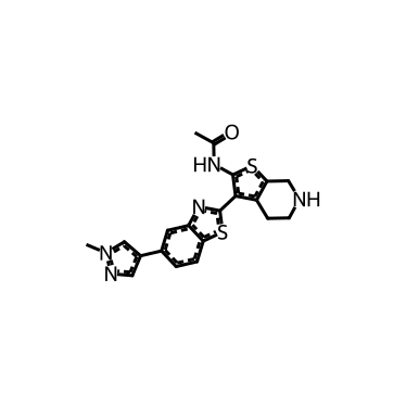 CC(=O)Nc1sc2c(c1-c1nc3cc(-c4cnn(C)c4)ccc3s1)CCNC2